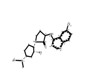 CC[C@@H]1C[C@H](N(C)C(C)C)CC[C@@H]1N1CCC(Nc2ncnc3ccc(C(F)(F)F)cc23)C1=O